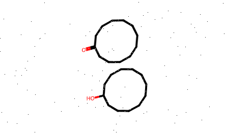 O=C1CCCCCCCCCCC1.OC1CCCCCCCCCCC1